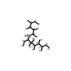 CCC(C)C(C)C(C)C(C)NC(CC)C(C)(C)C(C)C(C)C(C)CC